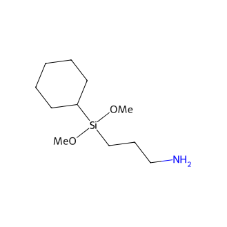 CO[Si](CCCN)(OC)C1CCCCC1